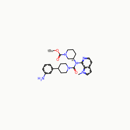 Cn1ccc2ccnc(N(C(=O)N3CCC(c4cccc(N)c4)CC3)[C@@H]3CCCN(C(=O)OC(C)(C)C)C3)c21